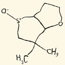 CC1(C)C[S+]([O-])C2CCOC21